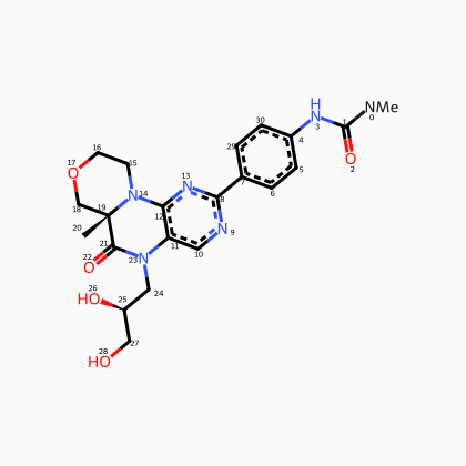 CNC(=O)Nc1ccc(-c2ncc3c(n2)N2CCOC[C@@]2(C)C(=O)N3C[C@H](O)CO)cc1